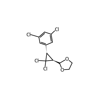 Clc1cc(Cl)cc([C@@H]2[C@@H](C3OCCO3)C2(Cl)Cl)c1